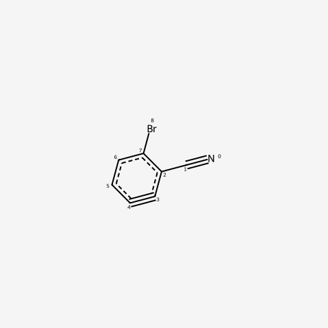 N#Cc1c#cccc1Br